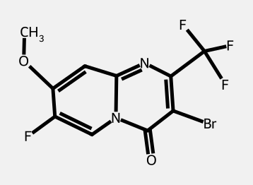 COc1cc2nc(C(F)(F)F)c(Br)c(=O)n2cc1F